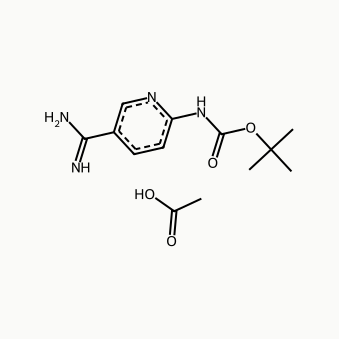 CC(=O)O.CC(C)(C)OC(=O)Nc1ccc(C(=N)N)cn1